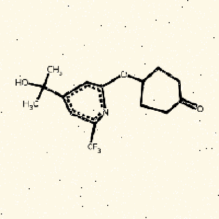 CC(C)(O)c1cc(OC2CCC(=O)CC2)nc(C(F)(F)F)c1